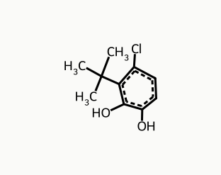 CC(C)(C)c1c(Cl)ccc(O)c1O